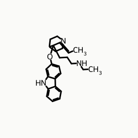 CC=C1N2CCC(CC2)C1(CCCNCC)Oc1ccc2c(c1)[nH]c1ccccc12